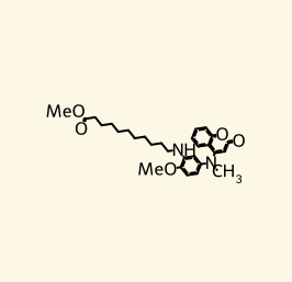 COC(=O)CCCCCCCCCCNc1cc(N(C)c2cc(=O)oc3ccccc23)ccc1OC